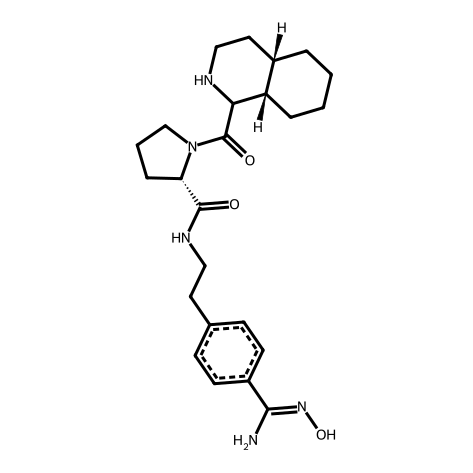 NC(=NO)c1ccc(CCNC(=O)[C@@H]2CCCN2C(=O)C2NCC[C@@H]3CCCC[C@H]23)cc1